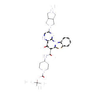 CN1CC2CN(c3cnc4c(=O)c(C(=O)NC5CCN(C(=O)OC(C)(C)C)CC5)c5sc6ccccc6n5c4n3)CC2C1